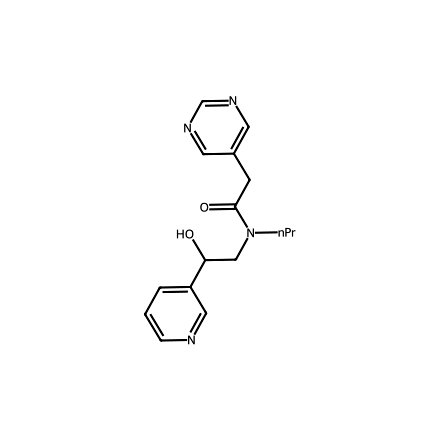 CCCN(CC(O)c1cccnc1)C(=O)Cc1cncnc1